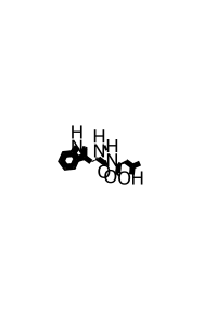 CN[C@@H](Cc1c[nH]c2ccccc12)C(=O)N[C@@H](CC(C)C)C(=O)O